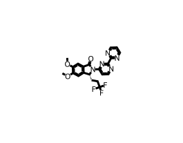 COc1cc2c(cc1OC)[C@@H](CCC(F)(F)F)N(c1ccnc(-c3ncccn3)n1)C2=O